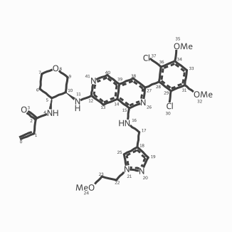 C=CC(=O)N[C@H]1CCOC[C@H]1Nc1cc2c(NCc3cnn(CCOC)c3)nc(-c3c(Cl)c(OC)cc(OC)c3Cl)cc2cn1